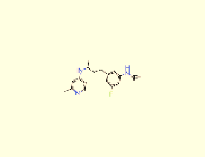 Cc1cc(NC(C)CCc2cc(F)cc(NC(C)C)c2)ccn1